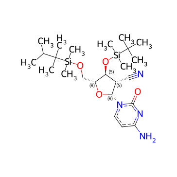 CC(C)C(C)(C)[Si](C)(C)OC[C@H]1O[C@@H](n2ccc(N)nc2=O)[C@@H](C#N)[C@@H]1O[Si](C)(C)C(C)(C)C